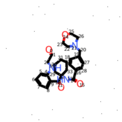 O=CCNc1ccccc1C(=O)C1(NC(=O)c2ccc(CN3CCOCC3)cc2)CCCCC1